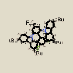 CC(C)(C)c1ccc2c(c1)c1cc(C(C)(C)C)ccc1n2-c1cc(C(F)(F)F)cc(-n2c3ccc(C(C)(C)C)cc3c3cc(C(C)(C)C)ccc32)c1-c1cc(F)cc(F)c1